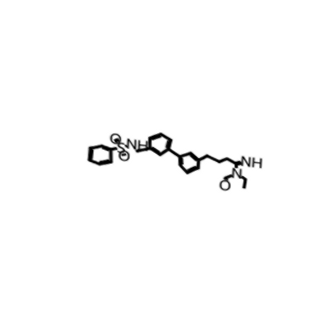 CCN(C=O)C(=N)CCCc1cccc(-c2cccc(CNS(=O)(=O)c3ccccc3)c2)c1